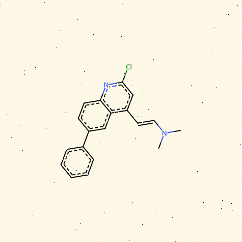 CN(C)C=Cc1cc(Cl)nc2ccc(-c3ccccc3)cc12